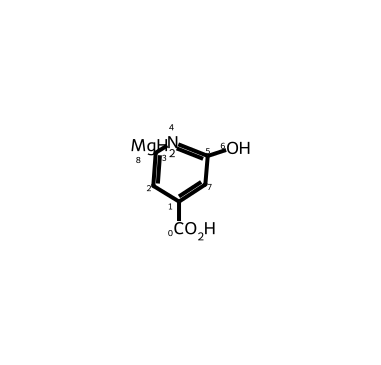 O=C(O)c1ccnc(O)c1.[MgH2]